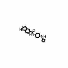 O=C(N[C@H]1CC[C@H](NC2CCC2)CC1)c1ccc2[nH]ncc2c1